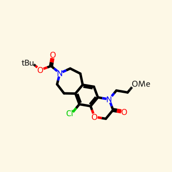 COCCN1C(=O)COc2c1cc1c(c2Cl)CCN(C(=O)OC(C)(C)C)CC1